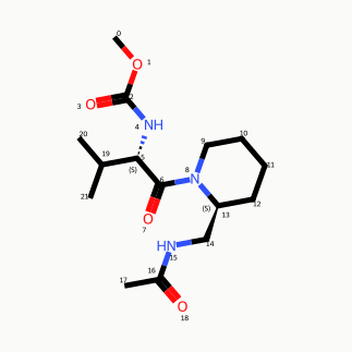 COC(=O)N[C@H](C(=O)N1CCCC[C@H]1CNC(C)=O)C(C)C